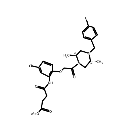 COC(=O)CCC(=O)Nc1cc(Cl)ccc1OCC(=O)N1C[C@@H](C)N(Cc2ccc(F)cc2)C[C@@H]1C